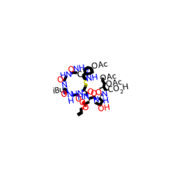 C=CCOC(=O)C[C@H](NC(=O)[C@@H]1CSc2[nH]c3cc(OC(C)=O)ccc3c2C[C@@H](N)C(=O)NCC(=O)N[C@@H]([C@@H](C)CC)C(=O)NCC(=O)N1)C(=O)N1C[C@H](O)C[C@H]1C(=O)N[C@H](C(=O)O)[C@@H](C)[C@H](COC(C)=O)OC(C)=O